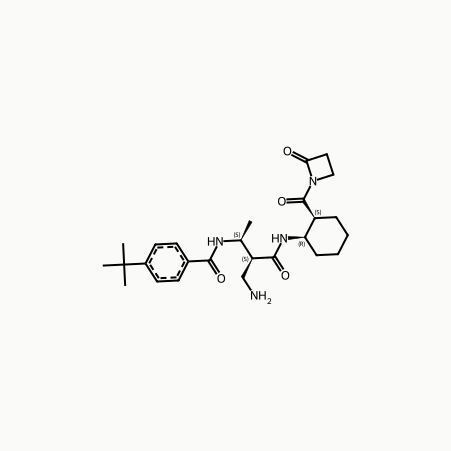 C[C@H](NC(=O)c1ccc(C(C)(C)C)cc1)[C@H](CN)C(=O)N[C@@H]1CCCC[C@@H]1C(=O)N1CCC1=O